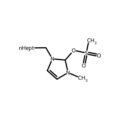 CCCCCCCCN1C=CN(C)C1OS(C)(=O)=O